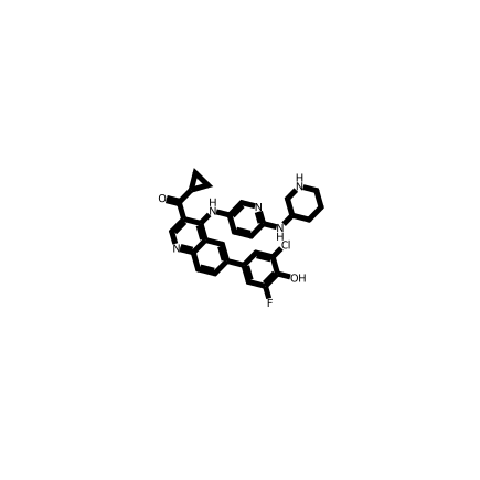 O=C(c1cnc2ccc(-c3cc(F)c(O)c(Cl)c3)cc2c1Nc1ccc(NC2CCCNC2)nc1)C1CC1